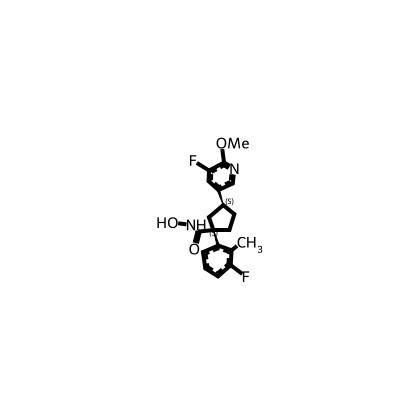 COc1ncc([C@H]2CC[C@@](C(=O)NO)(c3cccc(F)c3C)C2)cc1F